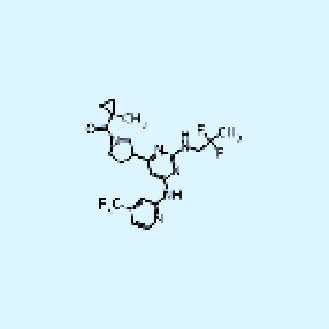 CC(F)(F)CNc1nc(Nc2cc(C(F)(F)F)ccn2)cc(C2CCN(C(=O)C3(C)CC3)C2)n1